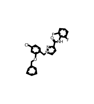 O=C(Nc1c(F)cccc1F)c1ccn(Cc2ccc(Cl)cc2OCc2ccccc2)n1